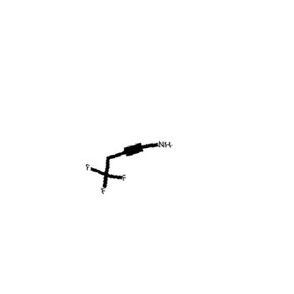 [NH]C#CCC(F)(F)F